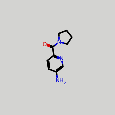 Nc1ccc(C(=O)N2CCCC2)nc1